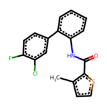 Cc1ccsc1C(=O)Nc1ccccc1-c1ccc(F)c(Cl)c1